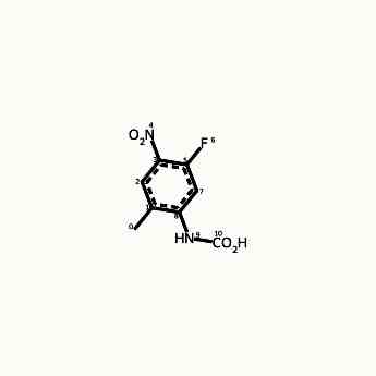 Cc1cc([N+](=O)[O-])c(F)cc1NC(=O)O